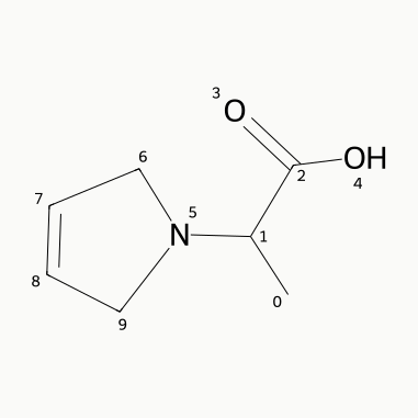 CC(C(=O)O)N1CC=CC1